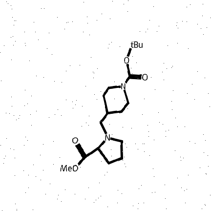 COC(=O)C1CCCN1CC1CCN(C(=O)OC(C)(C)C)CC1